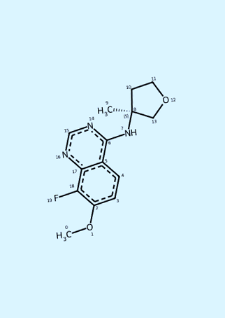 COc1ccc2c(N[C@@]3(C)CCOC3)ncnc2c1F